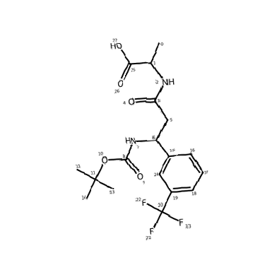 CC(NC(=O)CC(NC(=O)OC(C)(C)C)c1cccc(C(F)(F)F)c1)C(=O)O